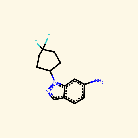 Nc1ccc2cnn(C3CCC(F)(F)CC3)c2c1